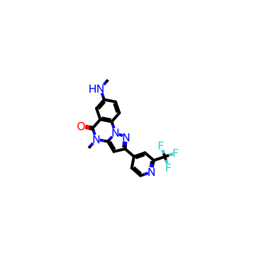 CNc1ccc2c(c1)c(=O)n(C)c1cc(-c3ccnc(C(F)(F)F)c3)nn21